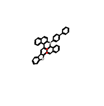 c1ccc(-c2ccc(N(c3ccc4ccccc4c3-c3ccc4oc5ccccc5c4c3)c3cccc4ccccc34)cc2)cc1